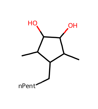 CCCCCCC1C(C)C(O)C(O)C1C